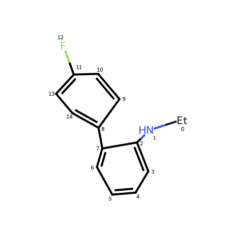 [CH2]CNc1ccccc1-c1ccc(F)cc1